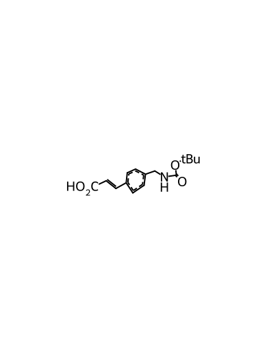 CC(C)(C)OC(=O)NCc1ccc(C=CC(=O)O)cc1